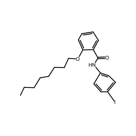 CCCCCCCCOc1ccccc1C(=O)Nc1ccc(I)cc1